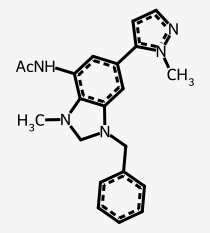 CC(=O)Nc1cc(-c2ccnn2C)cc2c1N(C)CN2Cc1ccccc1